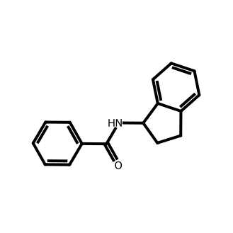 O=C(NC1CCc2ccccc21)c1ccccc1